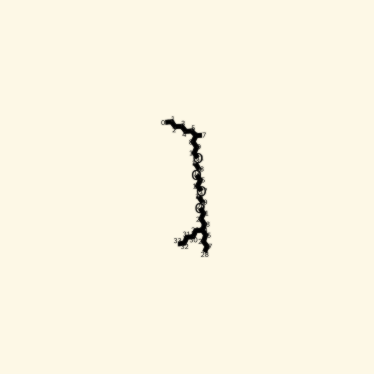 CCCCCCC(C)CCCOCCOCCOCCOCCCC(CCCC)CCCCC